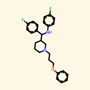 Fc1ccc(NC(c2ccc(F)cc2)C2CCCN(CCCOc3ccccc3)C2)cc1